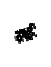 Cc1cc(C(=O)N2CCN3C(=O)c4ccccc4CC32c2ccc(Cl)cc2)c(C)o1